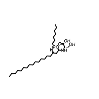 CCCCCCCCCCCCCCCC(CC(=O)N[C@@H](CO)C(=O)O)=NOCCCCCCC